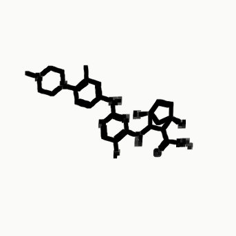 Cc1cc(Nc2ncc(F)c(NC3C(C(N)=O)[C@H]4C=C[C@@H]3C4)n2)ccc1N1CCN(C)CC1